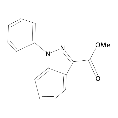 COC(=O)c1nn(-c2ccccc2)c2ccccc12